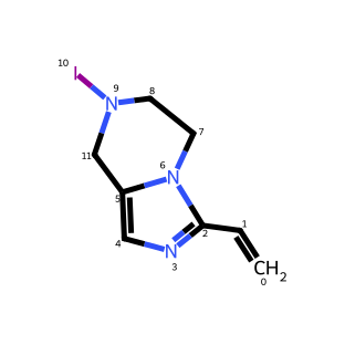 C=Cc1ncc2n1CCN(I)C2